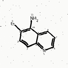 CCc1ccc2ncccc2c1N